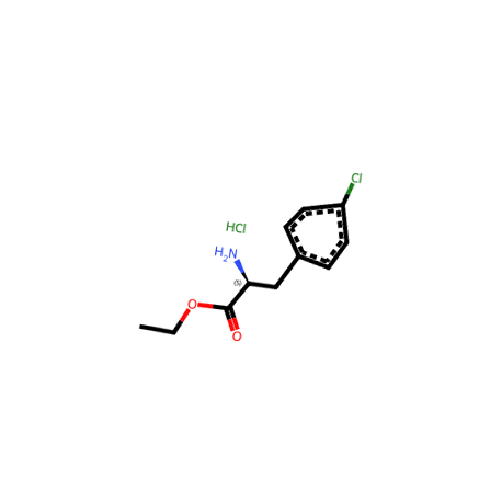 CCOC(=O)[C@@H](N)Cc1ccc(Cl)cc1.Cl